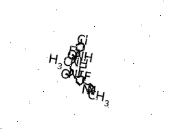 CC(CCN(C=O)c1ccc(-c2ccn(C)n2)c(F)c1F)NC(=O)Nc1ccc(Cl)cc1F